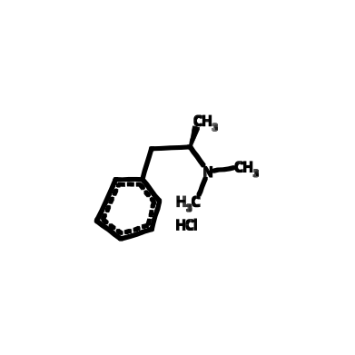 C[C@H](Cc1ccccc1)N(C)C.Cl